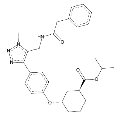 CC(C)OC(=O)[C@H]1CCC[C@H](Oc2ccc(-c3nnn(C)c3CNC(=O)Cc3ccccc3)cc2)C1